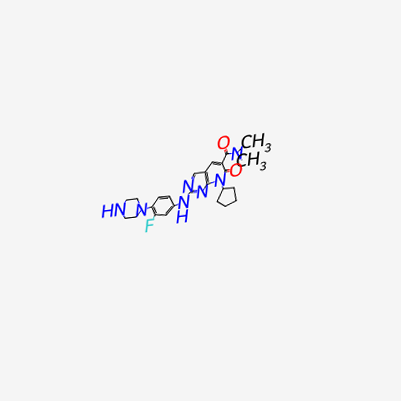 CN(C)C(=O)c1cc2cnc(Nc3ccc(N4CCNCC4)c(F)c3)nc2n(C2CCCC2)c1=O